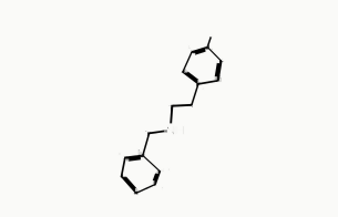 Clc1ccc(CCNCc2ccccc2)cc1